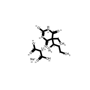 CCCC(C)C1(CC)C(=O)N=C([O-])NC1=O.O=C([O-])CC(=O)O.[Li+].[Na+]